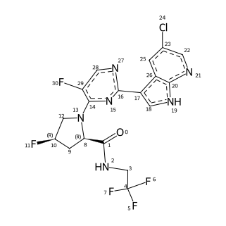 O=C(NCC(F)(F)F)[C@H]1C[C@@H](F)CN1c1nc(-c2c[nH]c3ncc(Cl)cc23)ncc1F